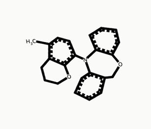 Cc1ccc(N2c3ccccc3COc3ccccc32)c2c1CCCO2